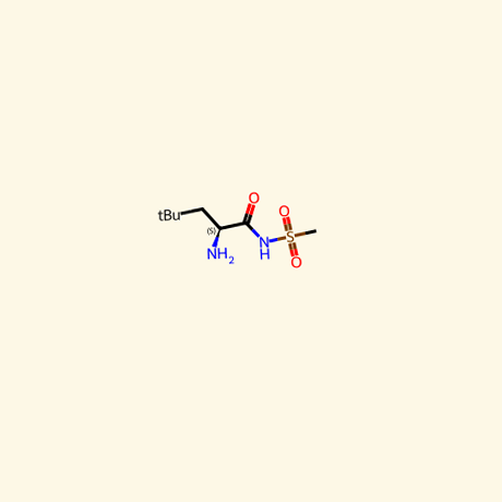 CC(C)(C)C[C@H](N)C(=O)NS(C)(=O)=O